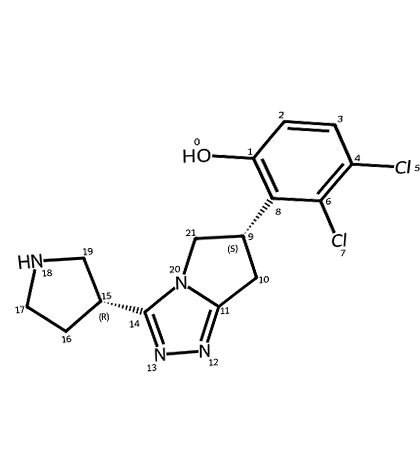 Oc1ccc(Cl)c(Cl)c1[C@@H]1Cc2nnc([C@@H]3CCNC3)n2C1